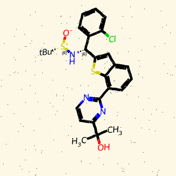 CC(C)(O)c1ccnc(-c2cccc3cc([C@H](N[S@@+]([O-])C(C)(C)C)c4ccccc4Cl)sc23)n1